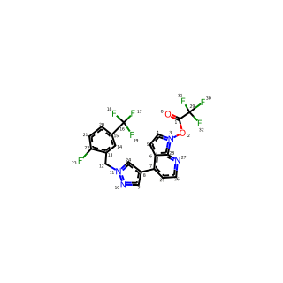 O=C(On1ccc2c(-c3cnn(Cc4cc(C(F)(F)F)ccc4F)c3)ccnc21)C(F)(F)F